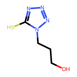 OCCCn1nnnc1S